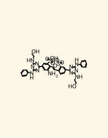 Nc1cc(-c2nc(NCCO)nc(Nc3ccccc3)n2)cc(S(=O)(=O)O)c1C=Cc1ccc(-c2nc(NCCO)nc(Nc3ccccc3)n2)cc1S(=O)(=O)O